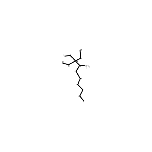 CCCCCCC(P)C(CC)(CC)CC